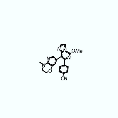 COc1nc(-c2ccc(C#N)cc2)c(-c2cnc3c(c2)OCCN3C)c2nccn12